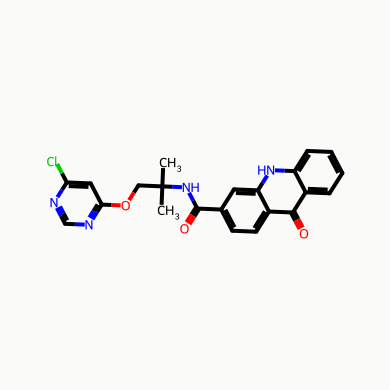 CC(C)(COc1cc(Cl)ncn1)NC(=O)c1ccc2c(=O)c3ccccc3[nH]c2c1